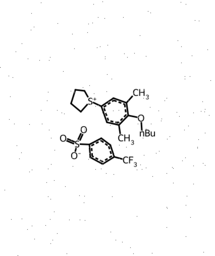 CCCCOc1c(C)cc([S+]2CCCC2)cc1C.O=S(=O)([O-])c1ccc(C(F)(F)F)cc1